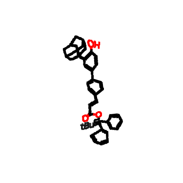 CC(C)(C)[Si](OC(=O)C=Cc1ccc(-c2ccc(O)c(C34CC5CC(CC(C5)C3)C4)c2)cc1)(c1ccccc1)c1ccccc1